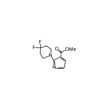 COC(=O)c1cccnc1N1CCC(F)(F)CC1